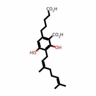 CC(C)=CCCC(C)=CCc1c(O)cc(CCCCC(=O)O)c(C(=O)O)c1O